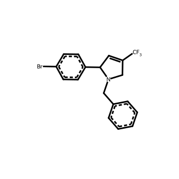 FC(F)(F)C1=CC(c2ccc(Br)cc2)N(Cc2ccccc2)C1